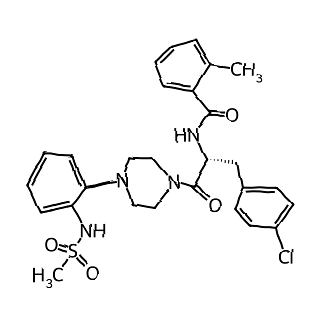 Cc1ccccc1C(=O)N[C@H](Cc1ccc(Cl)cc1)C(=O)N1CCN(c2ccccc2NS(C)(=O)=O)CC1